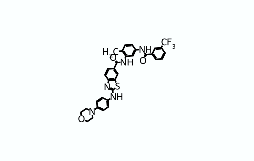 Cc1ccc(NC(=O)c2cccc(C(F)(F)F)c2)cc1NC(=O)c1ccc2nc(Nc3ccc(N4CCOCC4)cc3)sc2c1